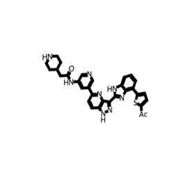 CC(=O)c1ccc(-c2cccc3[nH]c(-c4n[nH]c5ccc(-c6cncc(NC(=O)CC7CCNCC7)c6)nc45)nc23)s1